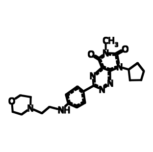 Cn1c(=O)c2nc(-c3ccc(NCCN4CCOCC4)cc3)nnc2n(C2CCCC2)c1=O